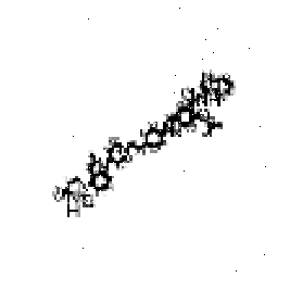 Cc1cc2c(N3CCC(=O)NC3=O)cccc2n1C1CCN(CCC2CCC(n3cc4cc(C(=O)Nc5cnc6cccnn56)c(OC5CC5)cc4n3)CC2)CC1